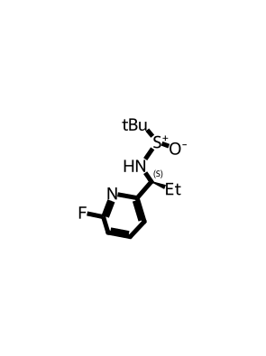 CC[C@H](N[S+]([O-])C(C)(C)C)c1cccc(F)n1